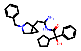 NC(CC12CC1CN(Cc1ccccc1)C2)NC(=O)C(O)(c1ccccc1)C1CCCC1